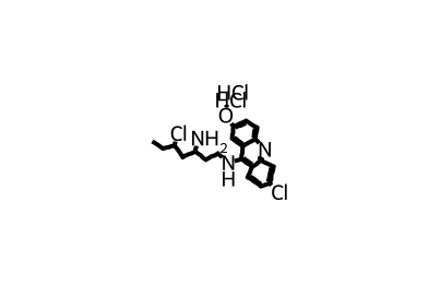 CCC(Cl)CC(N)CCNc1c2ccc(Cl)cc2nc2ccc(OC)cc12.Cl.Cl